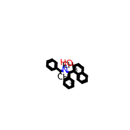 C[C@@H](c1ccccc1)N(C)C(c1ccccc1)c1c(O)ccc2ccccc12